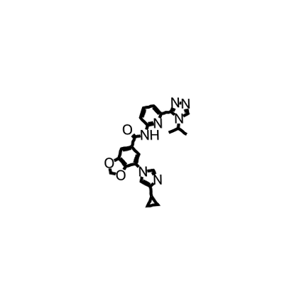 CC(C)n1cnnc1-c1cccc(NC(=O)c2cc3c(c(-n4cnc(C5CC5)c4)c2)OCO3)n1